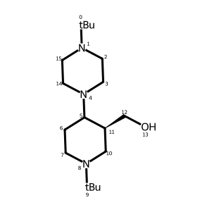 CC(C)(C)N1CCN(C2CCN(C(C)(C)C)C[C@@H]2CO)CC1